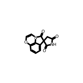 O=C1CC2(C(=O)N1)C(=O)N1C=COc3cccc2c31